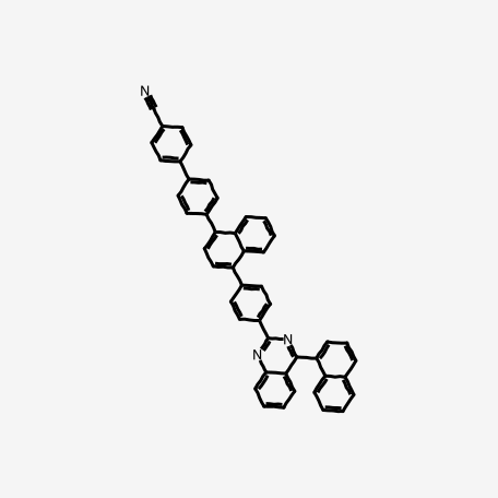 N#Cc1ccc(-c2ccc(-c3ccc(-c4ccc(-c5nc(-c6cccc7ccccc67)c6ccccc6n5)cc4)c4ccccc34)cc2)cc1